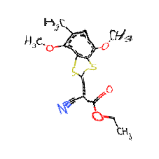 CCOC(=O)/C(C#N)=C1\Sc2c(OC)cc(C)c(OC)c2S1